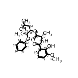 COc1ccnc(C(=O)N[C@@H](C)C(=O)O[C@H](CC(C)C)[C@H](C)Oc2ccccc2)c1O